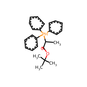 CC(C(=O)OC(C)(C)C)[PH](c1ccccc1)(c1ccccc1)c1ccccc1